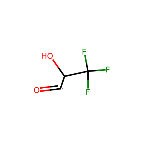 O=[C]C(O)C(F)(F)F